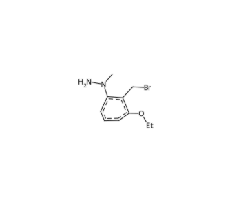 CCOc1cccc(N(C)N)c1CBr